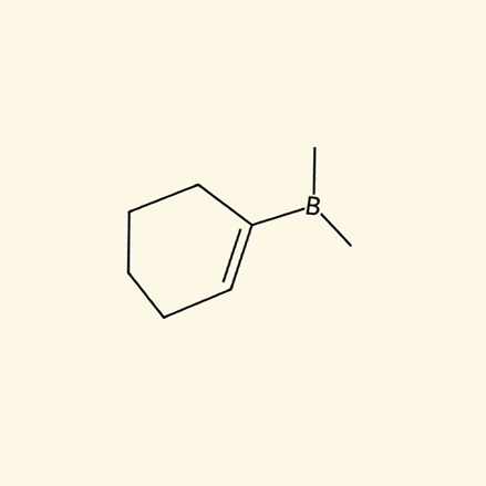 CB(C)C1=CCCCC1